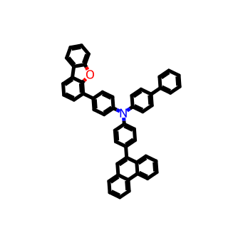 c1ccc(-c2ccc(N(c3ccc(-c4cc5ccccc5c5ccccc45)cc3)c3ccc(-c4cccc5c4oc4ccccc45)cc3)cc2)cc1